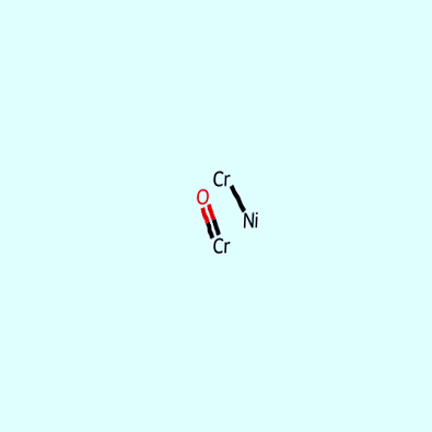 [Cr][Ni].[O]=[Cr]